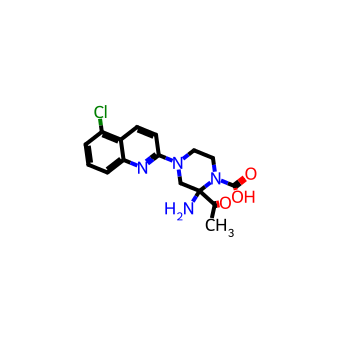 CC(=O)C1(N)CN(c2ccc3c(Cl)cccc3n2)CCN1C(=O)O